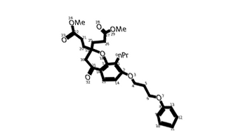 CCCc1c(OCCCOc2ccccc2)ccc2c1OC(CCC(=O)OC)(CCC(=O)OC)CC2=O